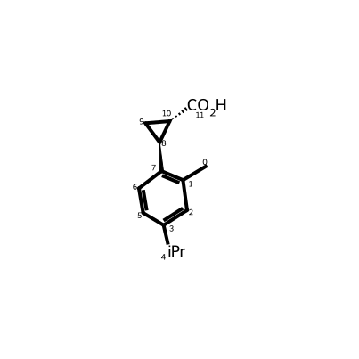 Cc1cc(C(C)C)ccc1[C@H]1C[C@@H]1C(=O)O